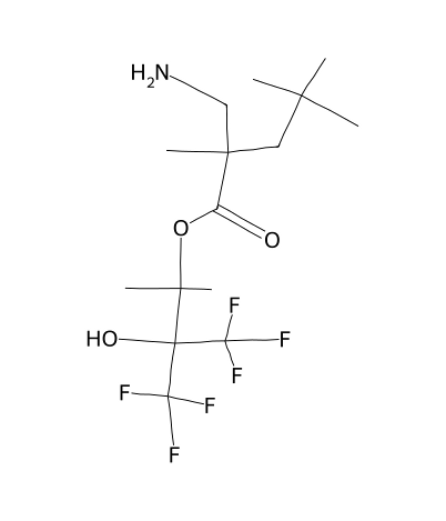 CC(C)(C)CC(C)(CN)C(=O)OC(C)(C)C(O)(C(F)(F)F)C(F)(F)F